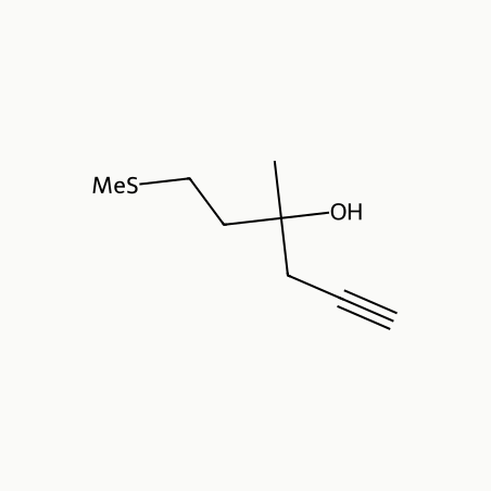 C#CCC(C)(O)CCSC